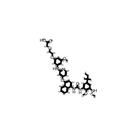 CCC(C)(C)c1cc(NSC)c(OC)c(NC(=O)Nc2ccc(Oc3ccnc(Nc4cc(OC)cc(OCCOCC(=O)O)c4)c3)c3ccccc23)c1